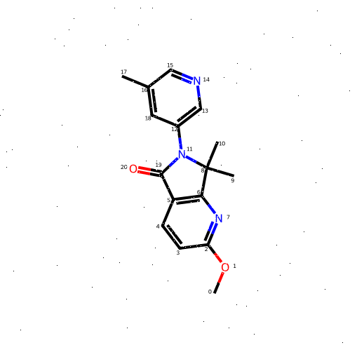 COc1ccc2c(n1)C(C)(C)N(c1cncc(C)c1)C2=O